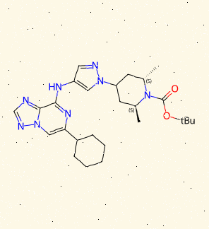 C[C@H]1CC(n2cc(Nc3nc(C4CCCCC4)cn4ncnc34)cn2)C[C@H](C)N1C(=O)OC(C)(C)C